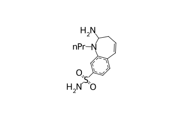 CCCN1c2cc(S(N)(=O)=O)ccc2C=CCC1N